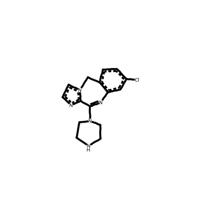 Clc1ccc2c(c1)N=C(N1CCNCC1)c1nccn1C2